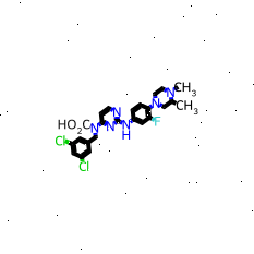 CC1CN(c2ccc(Nc3nccc(N(Cc4cc(Cl)cc(Cl)c4)C(=O)O)n3)cc2F)CCN1C